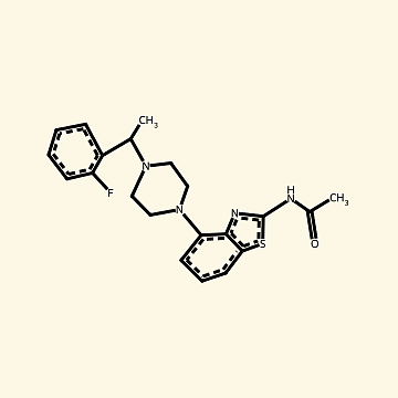 CC(=O)Nc1nc2c(N3CCN(C(C)c4ccccc4F)CC3)cccc2s1